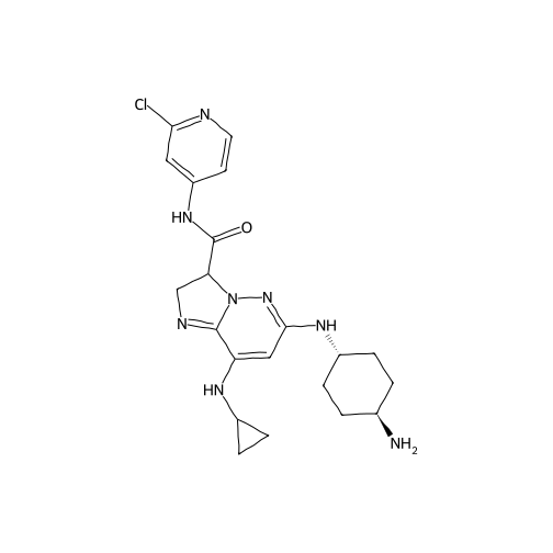 N[C@H]1CC[C@H](NC2=NN3C(=NCC3C(=O)Nc3ccnc(Cl)c3)C(NC3CC3)=C2)CC1